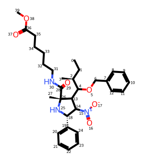 CC[C@H](C)C(OCc1ccccc1)C1C([N+](=O)[O-])[C@H](c2ccccc2)N[C@]1(C)C(=O)NCCCCCC(=O)OC